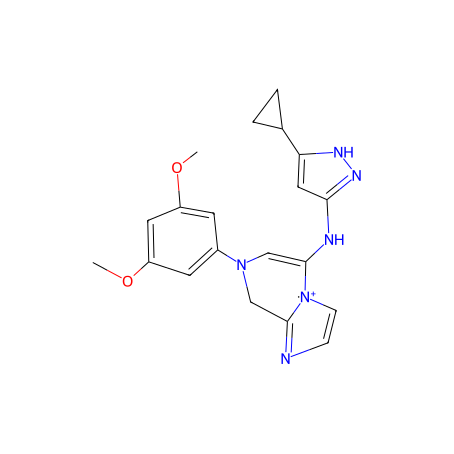 COc1cc(OC)cc(N2C=C(Nc3cc(C4CC4)[nH]n3)[N+]3C=CN=C3C2)c1